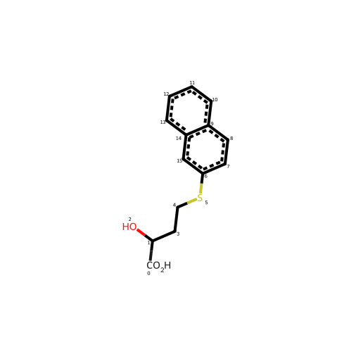 O=C(O)C(O)CCSc1ccc2ccccc2c1